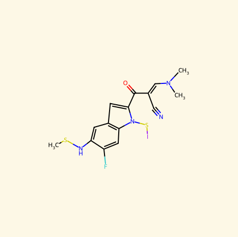 CSNc1cc2cc(C(=O)/C(C#N)=C/N(C)C)n(SI)c2cc1F